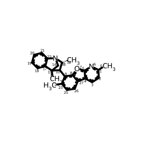 Cc1ccc2c(n1)oc1c(C3[C@@H](C)N4CC3(C)c3ccccc34)c(C)ccc12